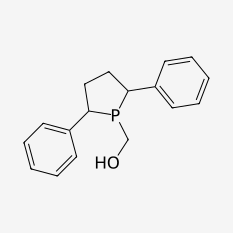 OCP1C(c2ccccc2)CCC1c1ccccc1